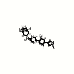 CN(c1cnc(-c2cc(F)c(-c3cnn(C)c3)cc2O)cn1)[C@@H]1C[C@H]2CC(F)(F)[C@@H](C1)N2